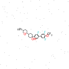 CCCC1CCC(C2CCC(O)(c3ccc(-c4cc(F)c(OC(F)(F)F)c(F)c4)c(F)c3)CC2)OC1